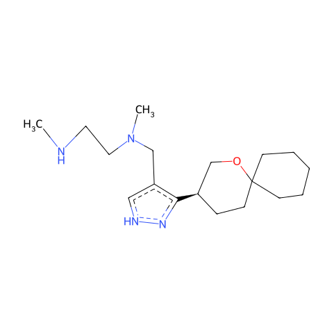 CNCCN(C)Cc1c[nH]nc1[C@@H]1CCC2(CCCCC2)OC1